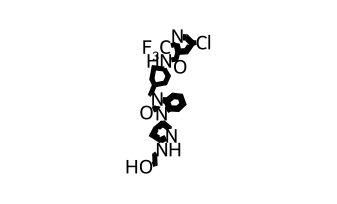 O=C(NC1CCC(Cn2c(=O)n(-c3ccc(NCCO)nc3)c3ccccc32)CC1)c1cc(Cl)cnc1C(F)(F)F